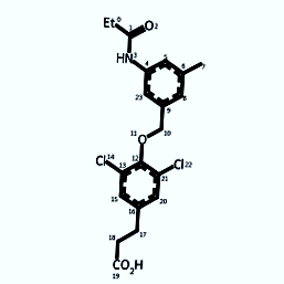 CCC(=O)Nc1cc(C)cc(COc2c(Cl)cc(CCC(=O)O)cc2Cl)c1